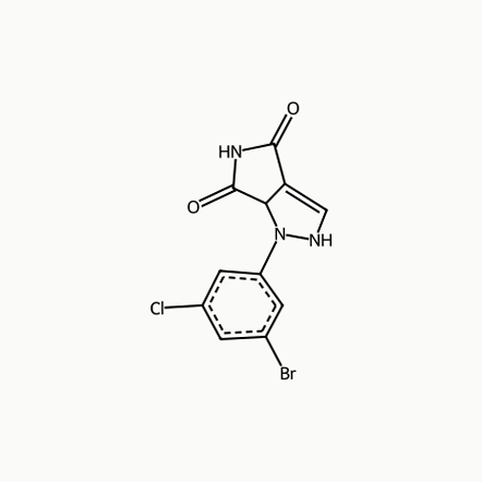 O=C1NC(=O)C2C1=CNN2c1cc(Cl)cc(Br)c1